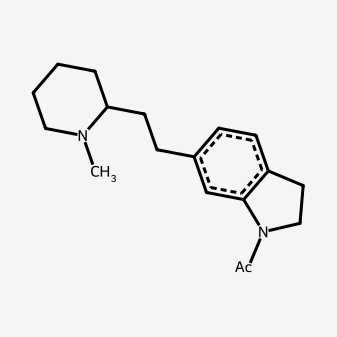 CC(=O)N1CCc2ccc(CCC3CCCCN3C)cc21